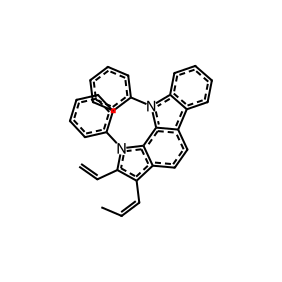 C=Cc1c(/C=C\C)c2ccc3c4ccccc4n(-c4ccccc4)c3c2n1-c1ccccc1